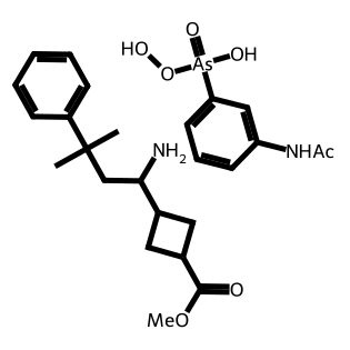 CC(=O)Nc1cccc([As](=O)(O)OO)c1.COC(=O)C1CC(C(N)CC(C)(C)c2ccccc2)C1